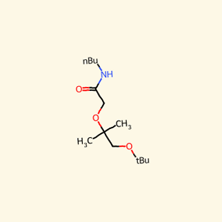 CCCCNC(=O)COC(C)(C)COC(C)(C)C